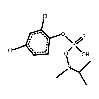 CC(C)N(C)OP(O)(=S)Oc1ccc(Cl)cc1Cl